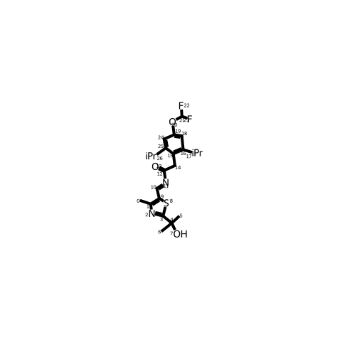 Cc1nc(C(C)(C)O)sc1C=NC(=O)Cc1c(C(C)C)cc(OC(F)F)cc1C(C)C